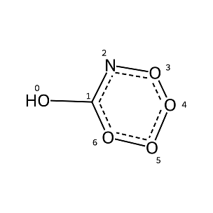 Oc1noooo1